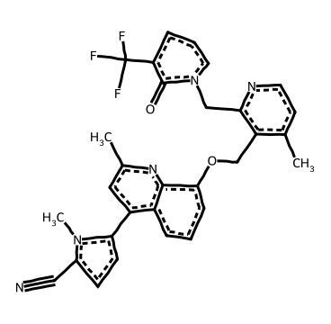 Cc1cc(-c2ccc(C#N)n2C)c2cccc(OCc3c(C)ccnc3Cn3cccc(C(F)(F)F)c3=O)c2n1